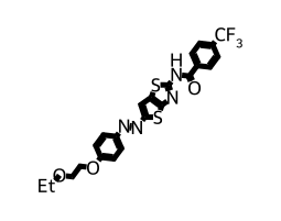 CCOCCOc1ccc(/N=N/c2cc3sc(NC(=O)c4ccc(C(F)(F)F)cc4)nc3s2)cc1